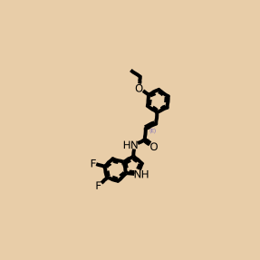 CCOc1cccc(/C=C/C(=O)Nc2c[nH]c3cc(F)c(F)cc23)c1